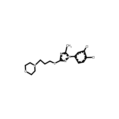 Cc1nc(SCCCN2CCOCC2)nn1-c1ccc(Cl)c(Cl)c1